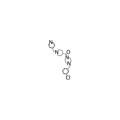 O=C(C1CCN(Cc2ccncc2)CC1)N1CCN(Cc2cccc(Cl)c2)CC1